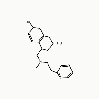 CN(CCc1ccccc1)CC1CCCc2cc(O)ccc21.Cl